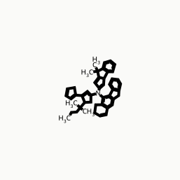 CCCC(C)(C)C1CC(N(C2=CC3C(=C2)C(C)(C)c2ccccc23)c2c3c(cc4c2-c2ccccc2C4)C=CCC3)=C=C1C1=CC=CC1